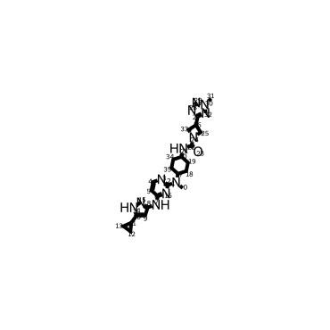 CN(c1nccc(Nc2cc(C3CC3)[nH]n2)n1)C1CCC(NC(=O)N2CC(c3nnn(C)n3)C2)CC1